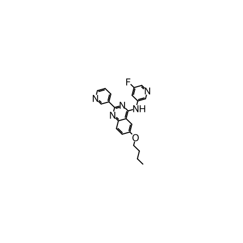 CCCCOc1ccc2nc(-c3cccnc3)nc(Nc3cncc(F)c3)c2c1